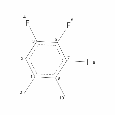 Cc1cc(F)c(F)c(I)c1C